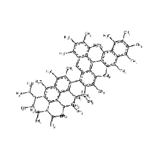 BBB(B(B)B)c1c(B(B(B)B)B(B)B)c(C)c2c(C)c(C)c(-c3c(C)c(C)c(C)c4c(-c5c(C)c(C)c6c(C)c(C)c(C)c(C)c6c5C)c5c(C)c(C)c(C)c(C)c5cc34)c(B(B)BB)c2c1B(B)B(B)B